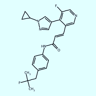 CC(C)(F)Cc1ccc(NC(=O)C=Cc2cncc(F)c2-c2cnn(C3CC3)c2)cc1